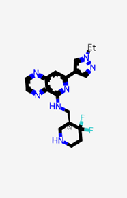 CCn1cc(-c2cc3nccnc3c(NC[C@@H]3CNCCC3(F)F)n2)cn1